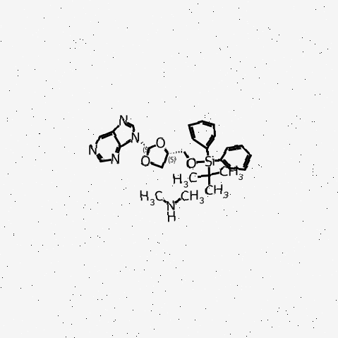 CC(C)(C)[Si](OC[C@@H]1CO[C@H](n2cnc3cncnc32)O1)(c1ccccc1)c1ccccc1.CNC